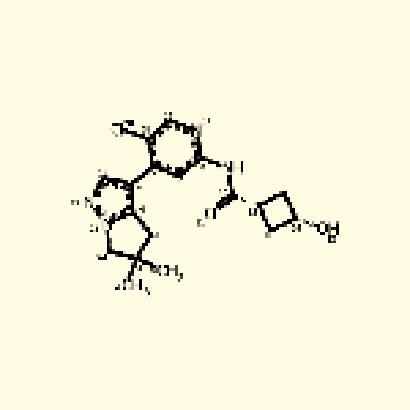 CC1(C)Cc2c(-c3cc(NC(=O)[C@H]4C[C@@H](O)C4)ncc3Cl)cnn2C1